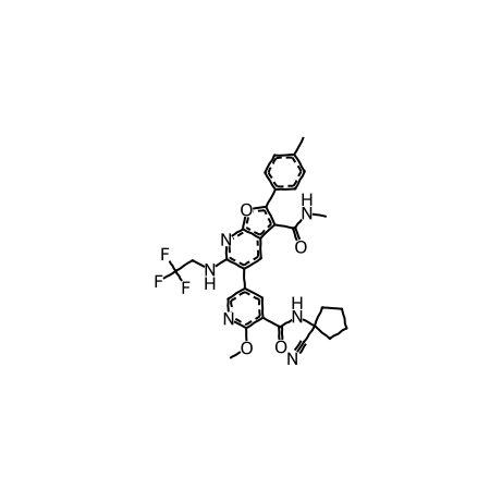 CNC(=O)c1c(-c2ccc(C)cc2)oc2nc(NCC(F)(F)F)c(-c3cnc(OC)c(C(=O)NC4(C#N)CCCC4)c3)cc12